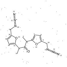 CC(C(=O)C(C)c1ccc(CN=[N+]=[N-])o1)c1ccc(CN=[N+]=[N-])o1